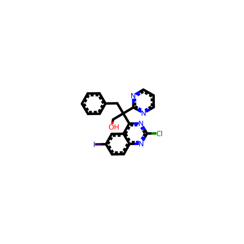 OCC(Cc1ccccc1)(c1ncccn1)c1nc(Cl)nc2ccc(I)cc12